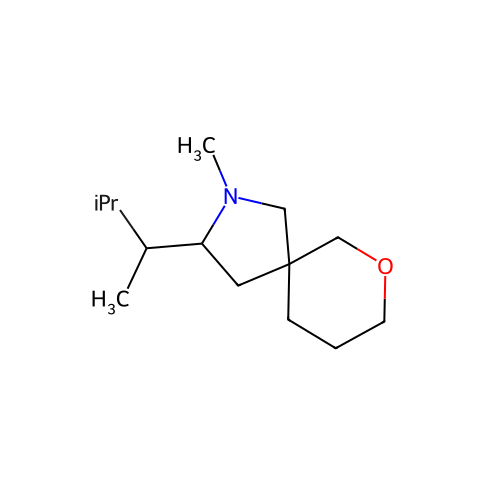 CC(C)C(C)C1CC2(CCCOC2)CN1C